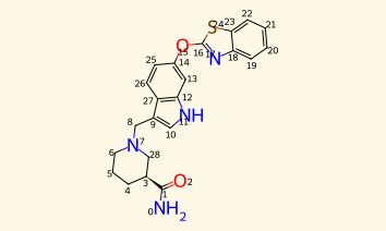 NC(=O)[C@H]1CCCN(Cc2c[nH]c3cc(Oc4nc5ccccc5s4)ccc23)C1